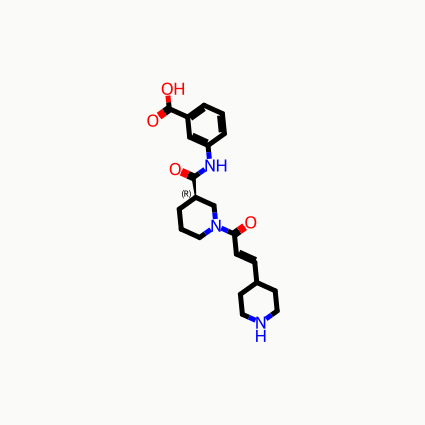 O=C(O)c1cccc(NC(=O)[C@@H]2CCCN(C(=O)C=CC3CCNCC3)C2)c1